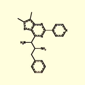 Cc1sc2c(C(N)C(N)Cc3ccccc3)nc(-c3ccncc3)nc2c1C